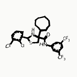 O=C(Nc1cc(C(F)(F)F)cc(C(F)(F)F)c1)C1(C2CCCCCCC2)CSC(c2cccc(Cl)c2Cl)N1